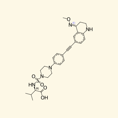 CO/N=C1\CCNc2ccc(C#Cc3ccc(N4CCN(S(=O)(=O)N[C@@H](C(=O)O)C(C)C)CC4)cc3)cc21